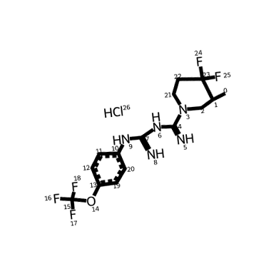 CC1CN(C(=N)NC(=N)Nc2ccc(OC(F)(F)F)cc2)CCC1(F)F.Cl